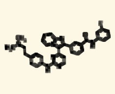 CN(C)CCc1ccc(Nc2nccc(-c3c(-c4cccc(C(=O)Nc5cccc(F)c5)c4)nc4ccccn34)n2)cc1